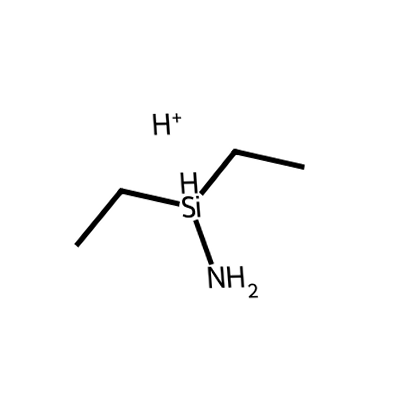 CC[SiH](N)CC.[H+]